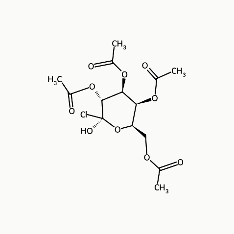 CC(=O)OC[C@H]1O[C@@](O)(Cl)[C@H](OC(C)=O)[C@@H](OC(C)=O)[C@H]1OC(C)=O